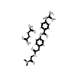 CN(C)C(=O)COC(=O)Cc1ccc(OC(=O)c2ccc(NC(=N)N)cc2)cc1.O=C(O)CCC(=O)O